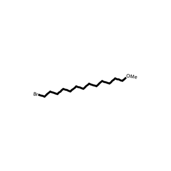 COCCCCCCCCCCCCCBr